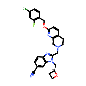 N#Cc1ccc2nc(CN3CCc4ccc(OCc5ccc(Cl)cc5F)nc4C3)n(C[C@@H]3CCO3)c2c1